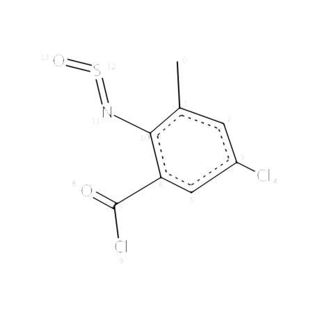 Cc1cc(Cl)cc(C(=O)Cl)c1N=S=O